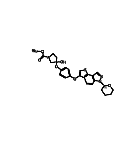 CC(C)(C)OC(=O)N1CCC(O)(Oc2ccc(Oc3csc4c3ccc3c4cnn3[C@@H]3CCCCO3)cc2)C1